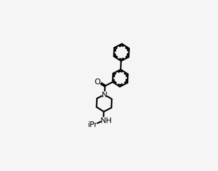 CC(C)NC1CCN(C(=O)c2cccc(-c3ccccc3)c2)CC1